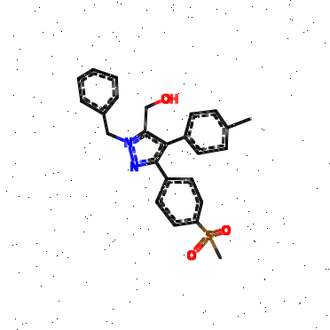 Cc1ccc(-c2c(-c3ccc(S(C)(=O)=O)cc3)nn(Cc3ccccc3)c2CO)cc1